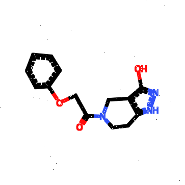 O=C(COc1ccccc1)N1CCc2[nH]nc(O)c2C1